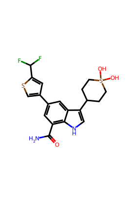 NC(=O)c1cc(-c2csc(C(F)F)c2)cc2c(C3CCS(O)(O)CC3)c[nH]c12